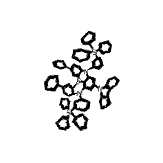 c1ccc(-c2ccc3c(c2)B2c4cc(-c5ccccc5)ccc4N(c4cccc([Si](c5ccccc5)(c5ccccc5)c5ccccc5)c4)c4cc(-n5c6ccccc6c6ccccc65)cc(c42)N3c2cccc([Si](c3ccccc3)(c3ccccc3)c3ccccc3)c2)cc1